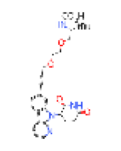 CC(C)(C)C(COCCOCC#Cc1ccc2c3cccnc3n(C3CCC(=O)NC3=O)c2c1)NC(=O)O